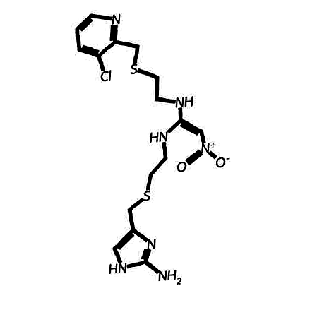 Nc1nc(CSCCNC(=C[N+](=O)[O-])NCCSCc2ncccc2Cl)c[nH]1